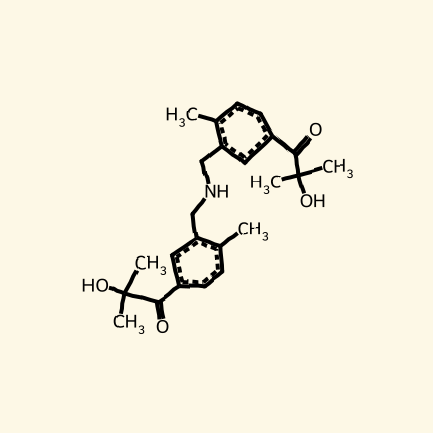 Cc1ccc(C(=O)C(C)(C)O)cc1CNCc1cc(C(=O)C(C)(C)O)ccc1C